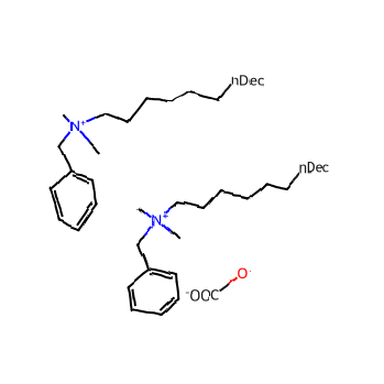 CCCCCCCCCCCCCCCC[N+](C)(C)Cc1ccccc1.CCCCCCCCCCCCCCCC[N+](C)(C)Cc1ccccc1.O=C([O-])[O-]